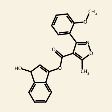 COc1ccccc1-c1noc(C)c1C(=O)OC1=CC(O)c2ccccc21